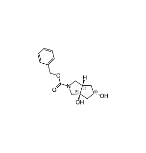 O=C(OCc1ccccc1)N1C[C@@H]2C[C@H](O)C[C@]2(O)C1